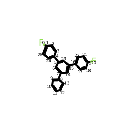 Fc1ccc(-c2cc(-c3ccccc3)cc(-c3ccc(F)cc3)c2)cc1